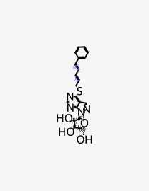 OC[C@H]1O[C@@H](n2ncc3c(SC/C=C/C=C/c4ccccc4)ncnc32)[C@H](O)[C@@H]1O